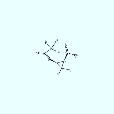 CC1(C)[C@H](C(=O)O)[C@@H]1/C=C(/F)C(F)(F)F